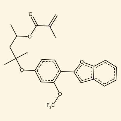 C=C(C)C(=O)OC(C)CC(C)(C)Oc1ccc(-c2cc3ccccc3o2)c(OC(F)(F)F)c1